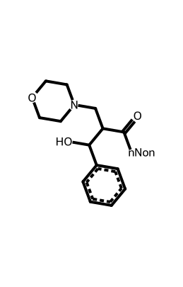 CCCCCCCCCC(=O)C(CN1CCOCC1)C(O)c1ccccc1